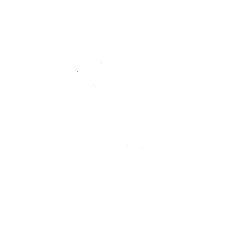 CCCCC(CCCC(=O)N(O)C1CCCCC1)Oc1ccc2c(c1Cl)CN1C(=N2)NC(=O)C1CO